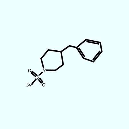 CC(C)S(=O)(=O)N1CCC(Cc2ccccc2)CC1